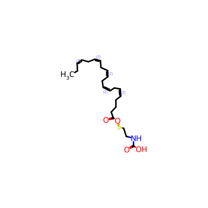 CC/C=C\C/C=C\C/C=C\C/C=C\C/C=C\CCCC(=O)OSCCNC(=O)O